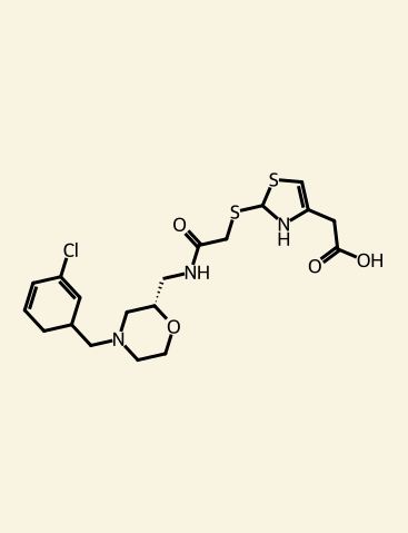 O=C(O)CC1=CSC(SCC(=O)NC[C@H]2CN(CC3C=C(Cl)C=CC3)CCO2)N1